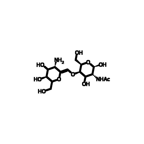 CC(=O)N[C@@H]1C(O)[C@@H](O/C=C2\OC(CO)[C@@H](O)C(O)[C@@H]2N)[C@@H](CO)O[C@@H]1O